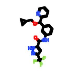 O=C(Nc1cccc(C(OCC2CC2)c2ccccn2)c1)c1cc(C(F)(F)F)n[nH]1